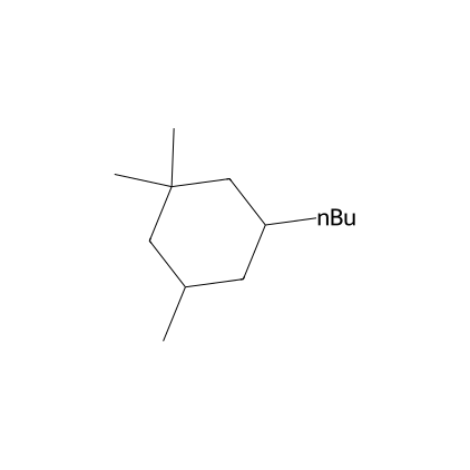 [CH2]CCCC1CC(C)CC(C)(C)C1